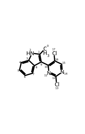 Cc1[nH]c2ccccc2c1-c1nc(Cl)ncc1Cl